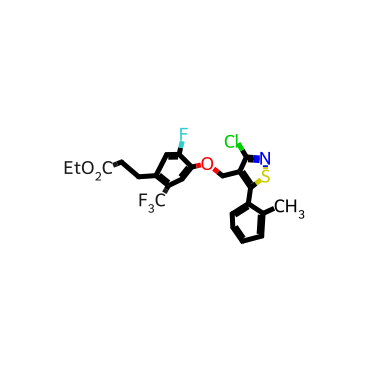 CCOC(=O)CCc1cc(F)c(OCc2c(Cl)nsc2-c2ccccc2C)cc1C(F)(F)F